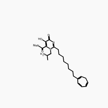 CNC(=O)c1c(O)c(=O)nc(CCCCCCCCC2=CCC=CC=C2)n1CC(C)N